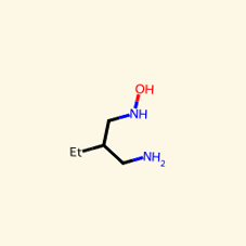 CCC(CN)CNO